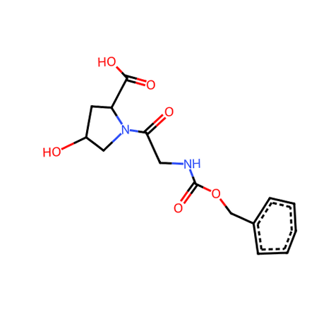 O=C(NCC(=O)N1CC(O)CC1C(=O)O)OCc1ccccc1